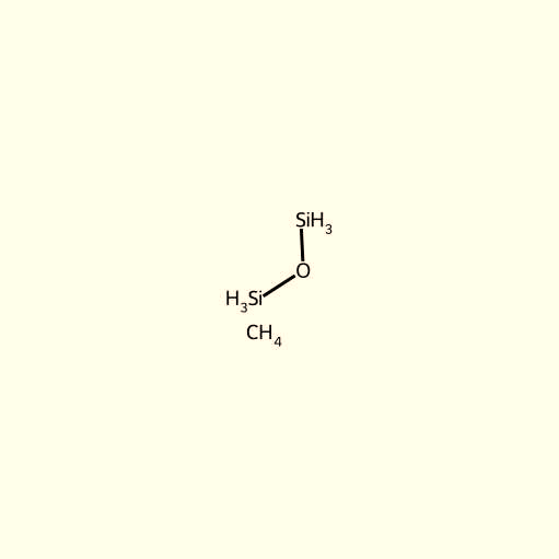 C.[SiH3]O[SiH3]